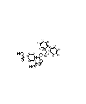 O=C(O)[C@@H]1CCN(C(=O)OCC2c3ccccc3-c3ccccc32)[C@H](C(=O)O)C1